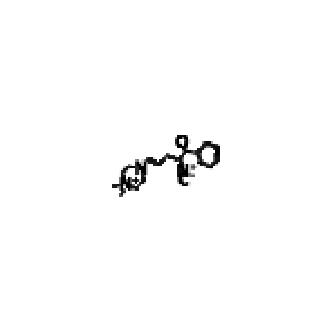 [C-]#[N+]C(=CC=CN1CC[N+](C)(C)CC1)C(=O)c1ccccc1